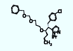 C=CC[C@@H](OCCCOCOCc1ccccc1)[C@H](Cc1ccc(Cl)cc1)c1ccnn1C(C)C